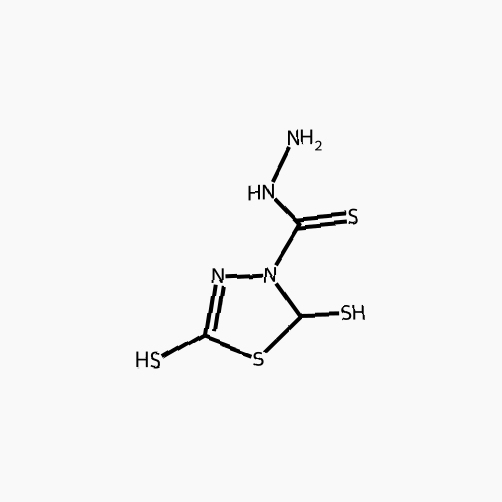 NNC(=S)N1N=C(S)SC1S